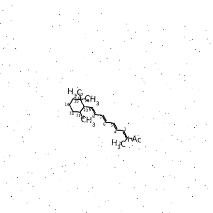 CC(=O)C(C)=CC=CC=CC=CC1C(C)CCCC1(C)C